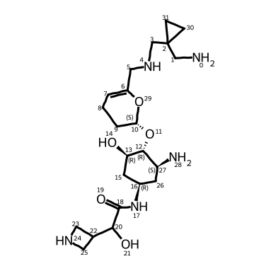 NCC1(CNCC2=CCC[C@@H](O[C@H]3[C@H](O)C[C@H](NC(=O)C(O)C4CNC4)C[C@@H]3N)O2)CC1